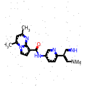 CN/C=C(\C=N)c1ccc(NC(=O)c2ccn3c(C)cc(C)nc23)cn1